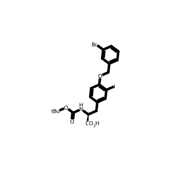 CC(C)(C)OC(=O)N[C@@H](Cc1ccc(OCc2cccc(Br)c2)c(I)c1)C(=O)O